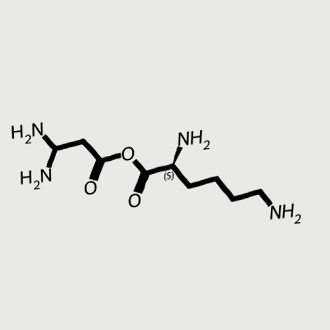 NCCCC[C@H](N)C(=O)OC(=O)CC(N)N